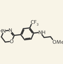 COCCNc1ccc(C2=NNCCO2)cc1C(F)(F)F